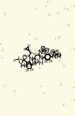 CCOC(=O)C1C(N(CCC2CC2)C(=O)CC2=NS(=O)(=O)c3cc(NS(C)(=O)=O)ccc3N2)[C@@H]2CC[C@H]1C2